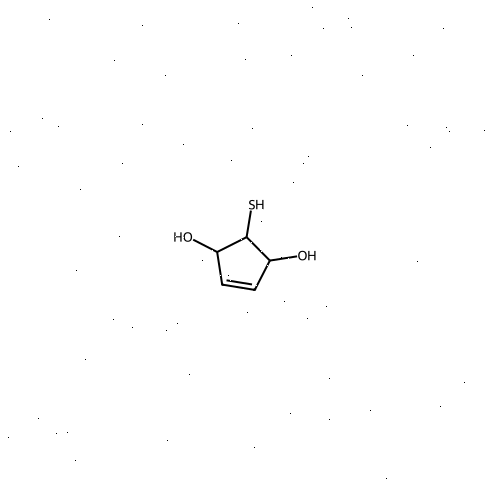 OC1C=CC(O)C1S